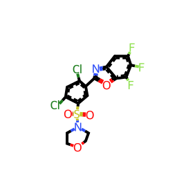 O=S(=O)(c1cc(-c2nc3cc(F)c(F)c(F)c3o2)c(Cl)cc1Cl)N1CCOCC1